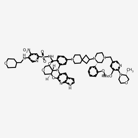 COc1cc(CN2CCN(C3CC4(CCN(c5ccc(C(=O)NS(=O)(=O)c6cc([N+](=O)[O-])c(NCC7CCOCC7)cn6)c(N6c7cc8cc[nH]c8nc7O[C@H]7COCC[C@@H]76)c5)CC4)C3)[C@@H](c3ccccc3OC(C)C)C2)cnc1N1CCOC[C@H]1C